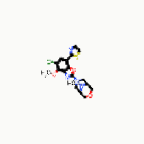 O=C(O)N1C2COCC1CN(c1nc3c(OC(F)(F)F)c(Cl)cc(-c4nccs4)c3o1)C2